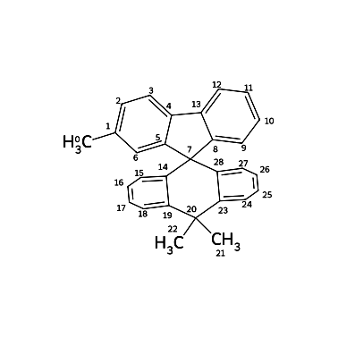 Cc1ccc2c(c1)C1(c3ccccc3-2)c2ccccc2C(C)(C)c2ccccc21